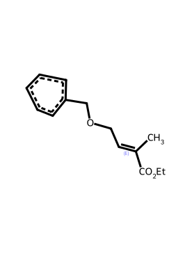 CCOC(=O)/C(C)=C/COCc1ccccc1